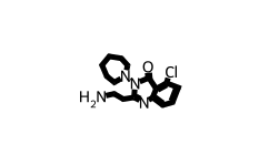 NCCc1nc2cccc(Cl)c2c(=O)n1N1CCCCCC1